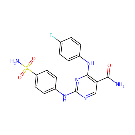 NC(=O)c1cnc(Nc2ccc(S(N)(=O)=O)cc2)nc1Nc1ccc(F)cc1